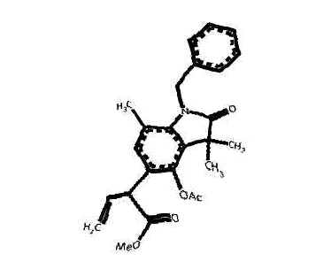 C=CC(C(=O)OC)c1cc(C)c2c(c1OC(C)=O)C(C)(C)C(=O)N2Cc1ccccc1